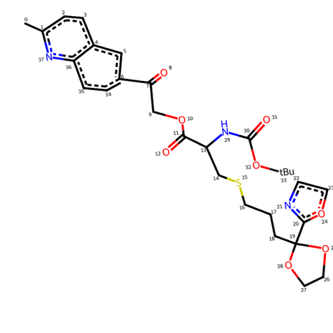 Cc1ccc2cc(C(=O)COC(=O)C(CSCCCC3(c4ncco4)OCCO3)NC(=O)OC(C)(C)C)ccc2n1